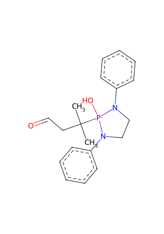 CC(C)(CC=O)[P]1(O)N(c2ccccc2)CCN1c1ccccc1